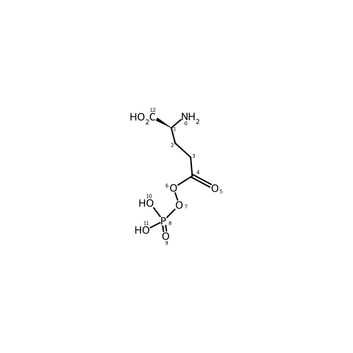 N[C@@H](CCC(=O)OOP(=O)(O)O)C(=O)O